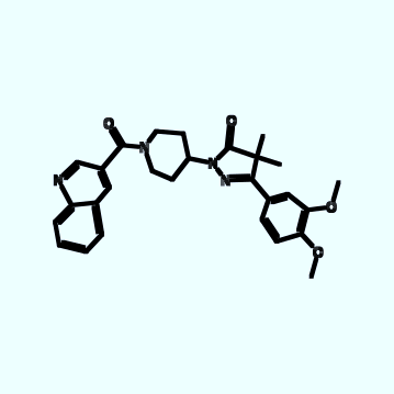 COc1ccc(C2=NN(C3CCN(C(=O)c4cnc5ccccc5c4)CC3)C(=O)C2(C)C)cc1OC